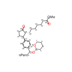 CCCCCC(OC1CCCCO1)c1ccc([C@H]2CCC(=O)[C@@H]2CCCCCCC(=O)OC)cc1